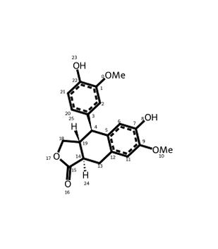 COc1cc([C@H]2c3cc(O)c(OC)cc3C[C@H]3C(=O)OC[C@H]23)ccc1O